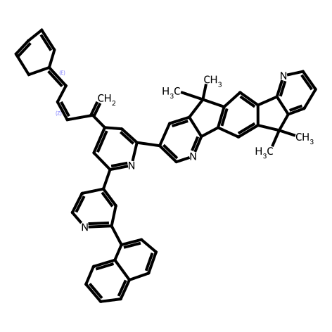 C=C(/C=C\C=C1\C=CC=CC1)c1cc(-c2ccnc(-c3cccc4ccccc34)c2)nc(-c2cnc3c(c2)C(C)(C)c2cc4c(cc2-3)C(C)(C)c2cccnc2-4)c1